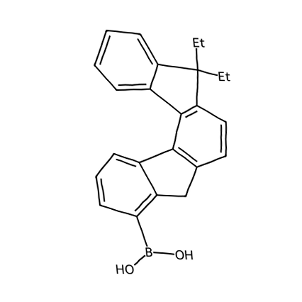 CCC1(CC)c2ccccc2-c2c1ccc1c2-c2cccc(B(O)O)c2C1